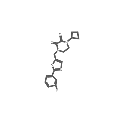 O=C1C(=O)N(C2CCC2)CCN1Cc1cnc(-c2cccc(F)c2)s1